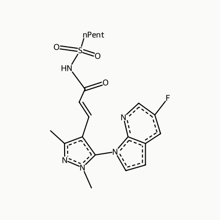 CCCCCS(=O)(=O)NC(=O)/C=C/c1c(C)nn(C)c1-n1ccc2cc(F)cnc21